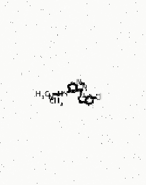 CN(C)CCCNc1ccc2ncnc(N3CCc4ccc(Cl)cc43)c2c1